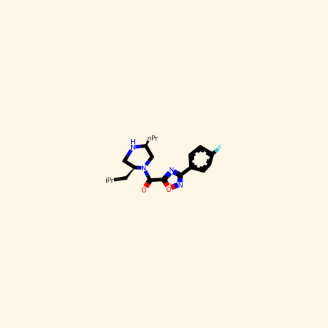 CCC[C@H]1CN(C(=O)c2nc(-c3ccc(F)cc3)no2)[C@@H](CC(C)C)CN1